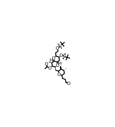 C=C1C(C[C@@H]2O[C@H]3CC(O[Si](C)(C)C(C)(C)C)C(CCO[Si](C)(C)C(C)(C)C)O[C@H]3[C@H](C)C2OC(C)=O)OC(CCC=O)C[C@H]1C